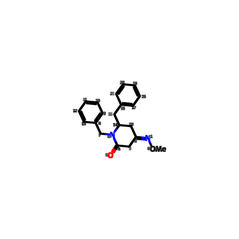 CON=C1CC(=O)N(Cc2ccccc2)C(Cc2ccccc2)C1